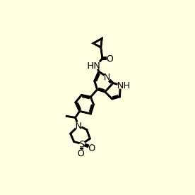 CC(c1ccc(-c2cc(NC(=O)C3CC3)nc3[nH]ccc23)cc1)N1CCS(=O)(=O)CC1